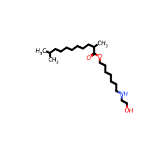 CC(C)CCCCCCCC(C)C(=O)OCCCCCCCNCCO